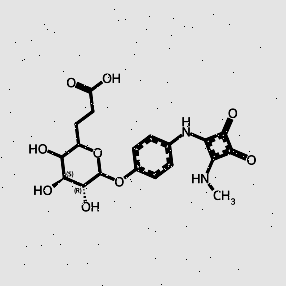 CNc1c(Nc2ccc(OC3OC(CCC(=O)O)C(O)[C@H](O)[C@H]3O)cc2)c(=O)c1=O